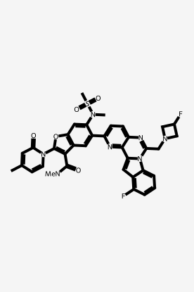 CNC(=O)c1c(-n2ccc(C)cc2=O)oc2cc(N(C)S(C)(=O)=O)c(-c3ccc4nc(CN5CC(F)C5)n5c6cccc(F)c6cc5c4n3)cc12